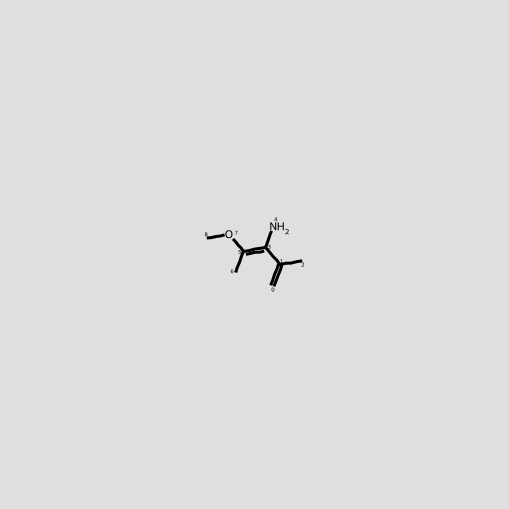 C=C(C)/C(N)=C(\C)OC